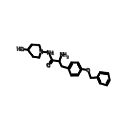 NC(Cc1ccc(OCc2ccccc2)cc1)C(=O)NN1CCC(O)CC1